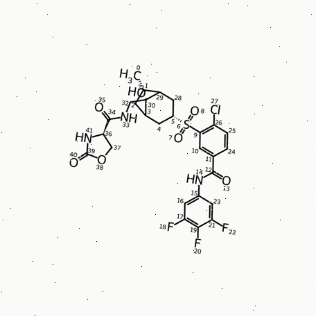 C[C@H]1CC2C[C@@H](S(=O)(=O)c3cc(C(=O)Nc4cc(F)c(F)c(F)c4)ccc3Cl)CC1[C@@]2(O)CNC(=O)[C@H]1COC(=O)N1